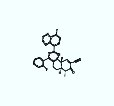 C[C@H]1C(=O)C(C#N)=C[C@@]2(C)c3nc(-c4ccc(F)c5ncccc45)nc(-c4ccccc4F)c3CC[C@H]12